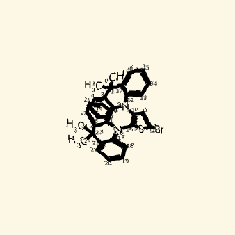 CC1(C)c2ccccc2N(c2cc(Br)sc2N2c3ccccc3C(C)(C)c3ccccc32)c2ccccc21